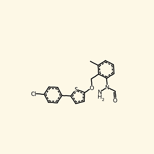 Cc1cccc(N(N)C=O)c1COc1ccc(-c2ccc(Cl)cc2)s1